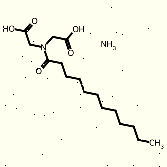 CCCCCCCCCCCC(=O)N(CC(=O)O)CC(=O)O.N